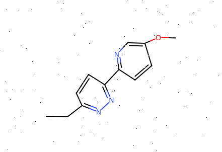 CCc1ccc(-c2ccc(OC)cn2)nn1